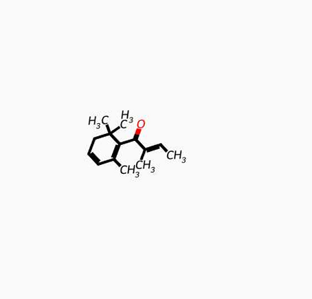 C/C=C(\C)C(=O)C1=C(C)C=CCC1(C)C